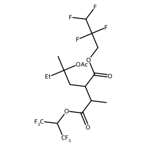 CCC(C)(CC(C(=O)OCC(F)(F)C(F)F)C(C)C(=O)OC(C(F)(F)F)C(F)(F)F)OC(C)=O